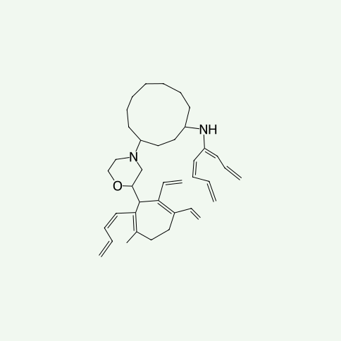 C=C/C=C\C1=C(C)CCC(C=C)=C(C=C)C1C1CN(C2CCCCCCCC(NC(/C=C\C=C)=C/C=C)CC2)CCO1